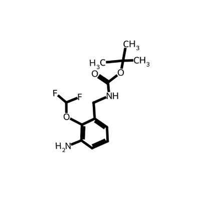 CC(C)(C)OC(=O)NCc1cccc(N)c1OC(F)F